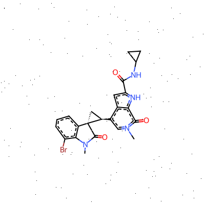 CN1C(=O)[C@@]2(C[C@H]2c2cn(C)c(=O)c3[nH]c(C(=O)NC4CC4)cc23)c2cccc(Br)c21